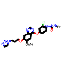 CCNC(=O)Nc1ccc(Oc2ncnc3cc(OCCCn4ccnn4)c(OC)cc23)cc1Cl